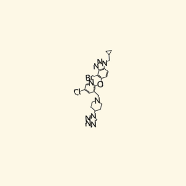 Clc1cnc(Oc2ccc3c(nnn3CC3CC3)c2Br)c(CN2CCC(n3cnnn3)CC2)c1